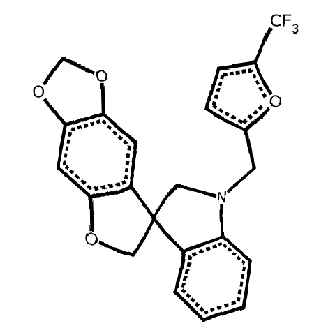 FC(F)(F)c1ccc(CN2CC3(COc4cc5c(cc43)OCO5)c3ccccc32)o1